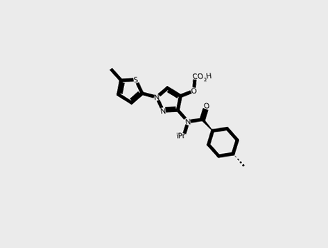 Cc1ccc(-n2cc(OC(=O)O)c(N(C(=O)[C@H]3CC[C@H](C)CC3)C(C)C)n2)s1